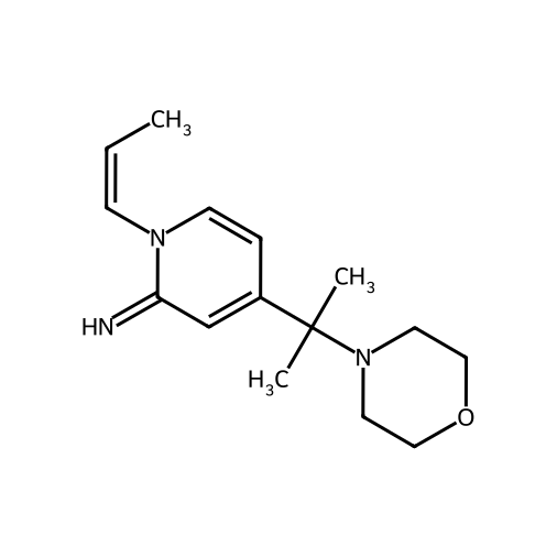 C/C=C\n1ccc(C(C)(C)N2CCOCC2)cc1=N